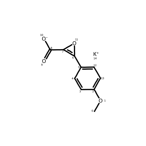 COc1ccc(C2=C(C(=O)[O-])O2)cc1.[K+]